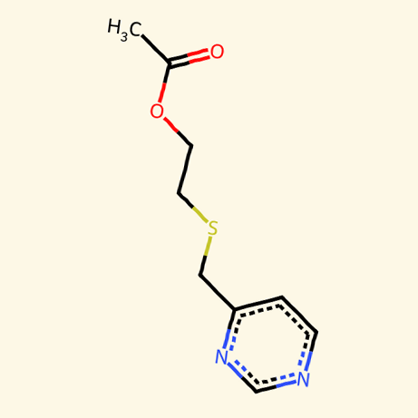 CC(=O)OCCSCc1ccncn1